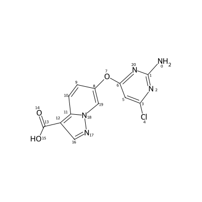 Nc1nc(Cl)cc(Oc2ccc3c(C(=O)O)cnn3c2)n1